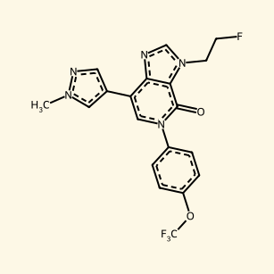 Cn1cc(-c2cn(-c3ccc(OC(F)(F)F)cc3)c(=O)c3c2ncn3CCF)cn1